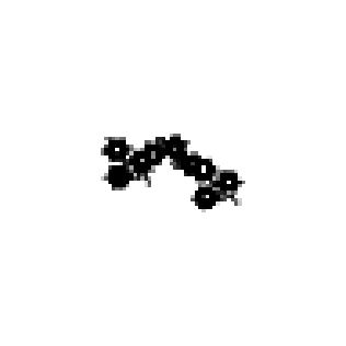 Cc1ccccc1N(c1ccccc1)c1ccc2cc3c(cc2c1)oc1c3ccc2oc3cc4cc(N(c5ccccc5)c5ccccc5C)ccc4cc3c21